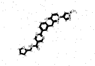 Cn1cc(-n2ccc(=O)c(Cc3cccc(-c4ncc(C(=O)NCC5CCCO5)cn4)c3)n2)cn1